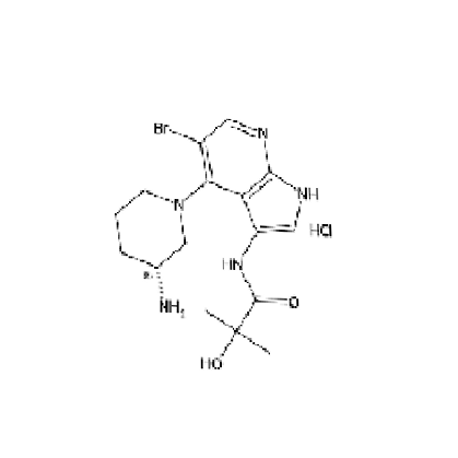 CC(C)(O)C(=O)Nc1c[nH]c2ncc(Br)c(N3CCC[C@@H](N)C3)c12.Cl